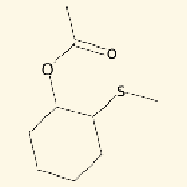 CSC1CCCCC1OC(C)=O